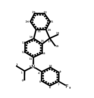 CC(C)N(c1ccc(F)cc1)c1ccc2c(c1)C(C)(C)c1ccccc1-2